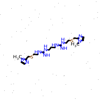 Cn1ccnc1CSCCNC(=N)NCCCNC(=N)NCCSCc1nccn1C